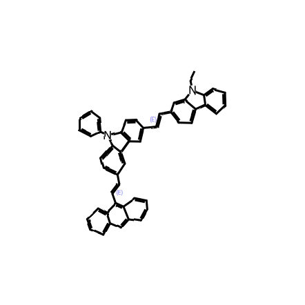 CCn1c2ccccc2c2ccc(/C=C/c3ccc4c(c3)c3cc(/C=C/c5c6ccccc6cc6ccccc56)ccc3n4-c3ccccc3)cc21